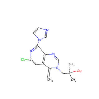 C=C1c2cc(Cl)nc(-n3ccnc3)c2N=CN1CC(C)(C)O